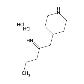 CCCC(=N)CC1CCNCC1.Cl.Cl